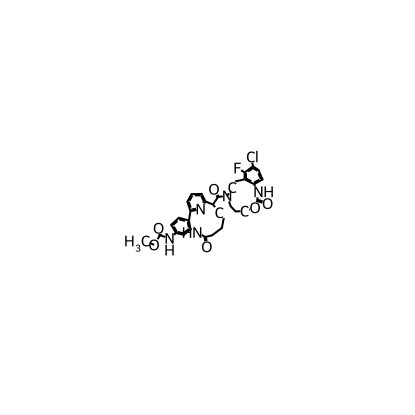 COC(=O)Nc1ccc2c(c1)NC(=O)CCCCC(C(=O)N1CCCOC(=O)Nc3ccc(Cl)c(F)c3CC1)c1cccc-2n1